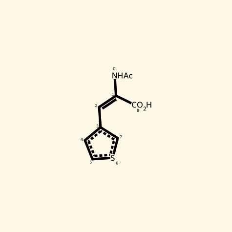 CC(=O)NC(=Cc1ccsc1)C(=O)O